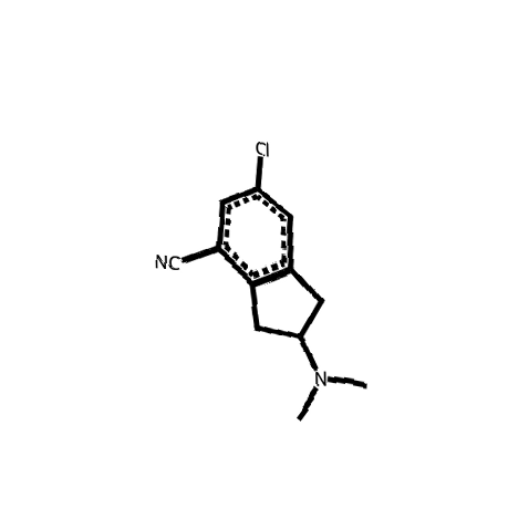 CN(C)C1Cc2cc(Cl)cc(C#N)c2C1